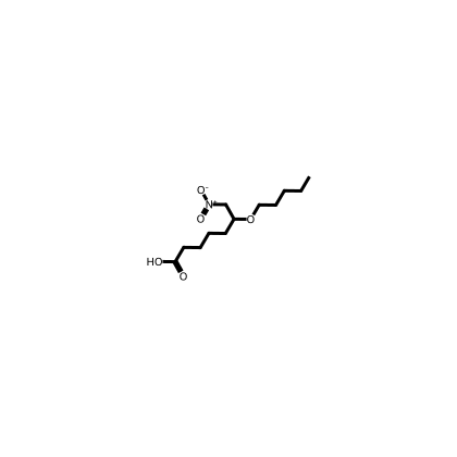 CCCCCOC(CCCCC(=O)O)C[N+](=O)[O-]